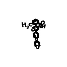 Cc1cccc2c(=O)[nH]c3c(c12)COC(C1CCN(C2CCOCC2)CC1)C3